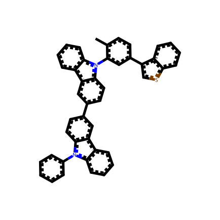 Cc1ccc(-c2csc3ccccc23)cc1-n1c2ccccc2c2cc(-c3ccc4c(c3)c3ccccc3n4-c3ccccc3)ccc21